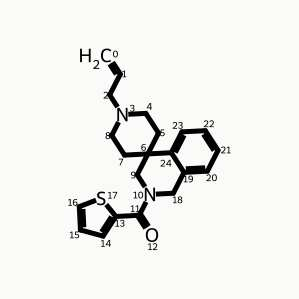 C=CCN1CCC2(CC1)CN(C(=O)c1cccs1)Cc1ccccc12